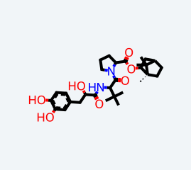 CC(C)(C)C(NC(=O)C(O)Cc1ccc(O)c(O)c1)C(=O)N1CCCC1C(=O)OC1CC2CC[C@]1(C)C2(C)C